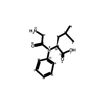 CC(C)C[C@@H](C(=O)O)N(C(=O)CN)c1ccccc1